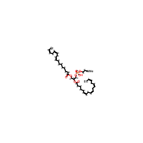 CC/C=C\C/C=C\C/C=C\C/C=C\CCCCC(=O)OC(COC(=O)CCCCCCC/C=C\C/C=C\C/C=C\CC)COP(=O)(O)OCCNC